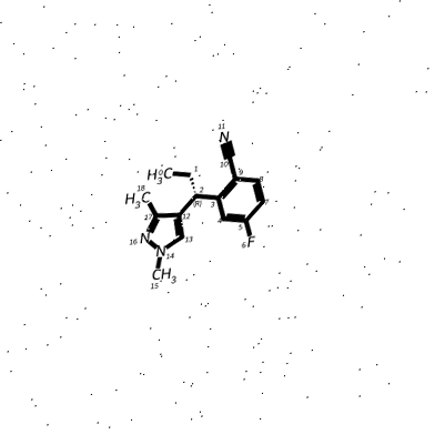 CC[C@H](c1cc(F)ccc1C#N)c1cn(C)nc1C